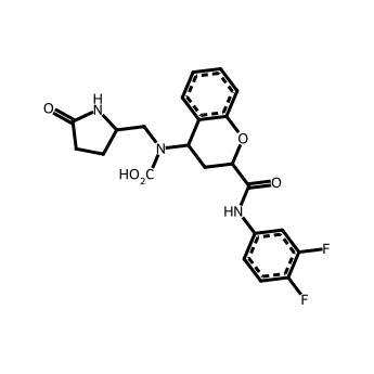 O=C1CCC(CN(C(=O)O)C2CC(C(=O)Nc3ccc(F)c(F)c3)Oc3ccccc32)N1